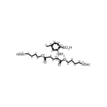 CCCCCCCCCCCCCCOC(=O)CC[C@H](N)C(=O)OCCCCCCCCCCCCCC.Cc1ccc(S(=O)(=O)O)cc1